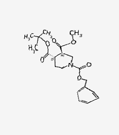 COC(=O)[C@H]1CN(C(=O)OCc2ccccc2)CC[C@@H]1C(=O)OC(C)(C)C